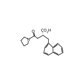 O=C(O)[C@@H](CC(=O)N1CCCC1)Cc1cccc2ccccc12